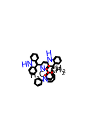 C=C1/C=C\C=C/N(c2ccccc2)/C(C)=C1/C=C\C(=C)c1ccccc1Nc1cc(C2=C3C=CC=CC3Nc3ccccc32)nc(-c2ccccc2)c1